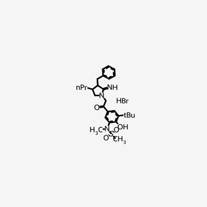 Br.CCCC1CN(CC(=O)c2cc(N(C)S(C)(=O)=O)c(O)c(C(C)(C)C)c2)C(=N)C1Cc1ccccc1